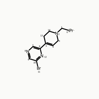 C[C](C)CN1CC=C(c2cncc(Br)n2)CC1